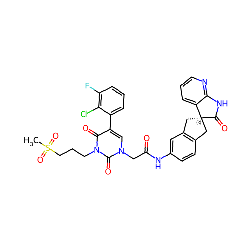 CS(=O)(=O)CCCn1c(=O)c(-c2cccc(F)c2Cl)cn(CC(=O)Nc2ccc3c(c2)C[C@@]2(C3)C(=O)Nc3ncccc32)c1=O